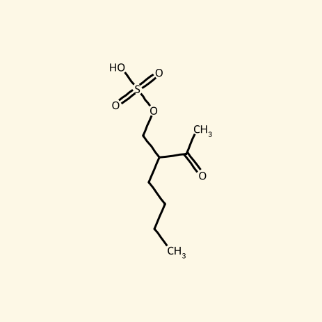 CCCCC(COS(=O)(=O)O)C(C)=O